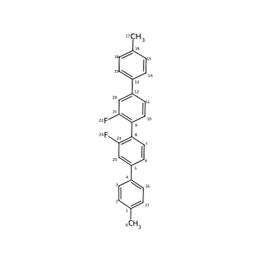 Cc1ccc(-c2ccc(-c3ccc(-c4ccc(C)cc4)cc3F)c(F)c2)cc1